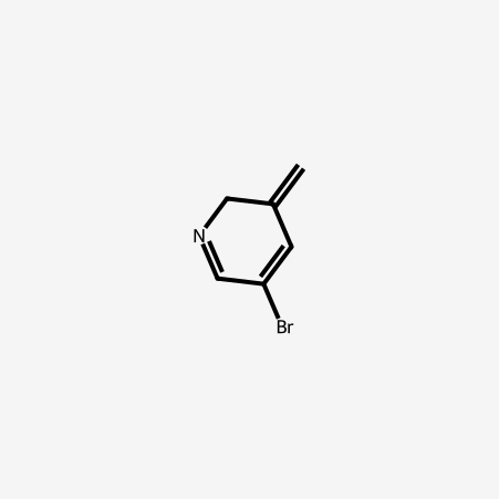 C=C1C=C(Br)C=NC1